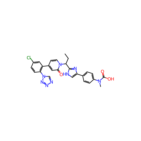 CCC(c1nc(-c2ccc(N(C)C(=O)O)cc2)c[nH]1)n1ccc(-c2cc(Cl)ccc2-n2cnnn2)cc1=O